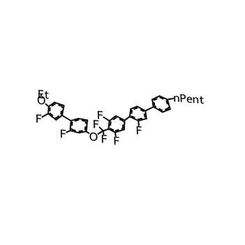 CCCCCc1ccc(-c2ccc(-c3cc(F)c(C(F)(F)Oc4ccc(-c5ccc(OCC)c(F)c5)c(F)c4)c(F)c3)c(F)c2)cc1